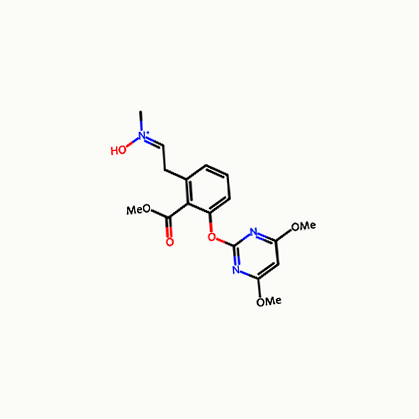 COC(=O)c1c(CC=[N+](C)O)cccc1Oc1nc(OC)cc(OC)n1